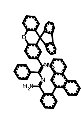 N/C(=N\C(=C(/N)c1ccc2c(c1)C1(c3ccccc3O2)c2ccccc2-c2ccccc21)c1ccccc1)c1ccccc1-c1cc2ccccc2c2ccccc12